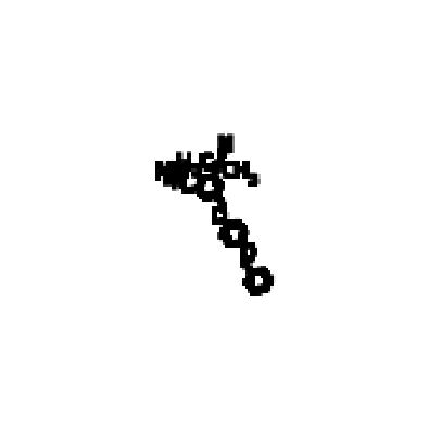 CC(C)(C#N)c1cc(COc2ccc(OCc3ccccc3)cc2)cc(Cn2cncn2)c1